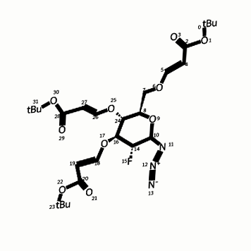 CC(C)(C)OC(=O)/C=C/OC[C@H]1OC(N=[N+]=[N-])[C@H](F)[C@@H](O/C=C/C(=O)OC(C)(C)C)[C@@H]1O/C=C/C(=O)OC(C)(C)C